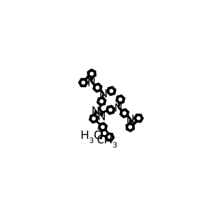 CC1(C)c2ccccc2-c2ccc(-c3cccc4nc(-c5ccc(N(c6ccccc6)c6ccc(-n7c8ccccc8c8ccccc87)cc6)cc5)c(-c5ccc(N(c6ccccc6)c6ccc(-n7c8ccccc8c8ccccc87)cc6)cc5)nc34)cc21